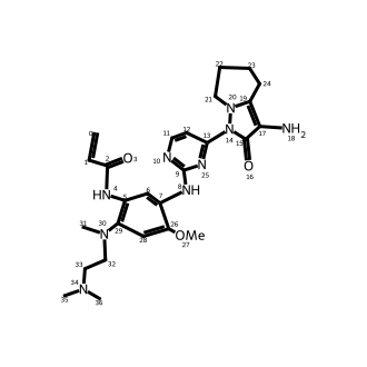 C=CC(=O)Nc1cc(Nc2nccc(-n3c(=O)c(N)c4n3CCCC4)n2)c(OC)cc1N(C)CCN(C)C